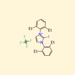 CCc1cccc(CC)c1-n1cc[n+](-c2c(CC)cccc2CC)c1I.F[B-](F)(F)F